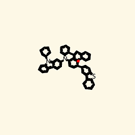 c1ccc(-n2c3ccccc3c3ccc(N(c4ccc(-c5ccc6sc7ccccc7c6c5)cc4)c4ccccc4-c4ccc5ccccc5c4)cc32)cc1